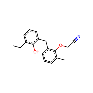 CCc1cccc(Cc2cccc(C)c2OCC#N)c1O